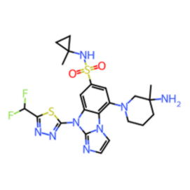 CC1(N)CCCN(c2cc(S(=O)(=O)NC3(C)CC3)cc3c2n2ccnc2n3-c2nnc(C(F)F)s2)C1